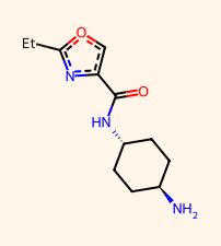 CCc1nc(C(=O)N[C@H]2CC[C@H](N)CC2)co1